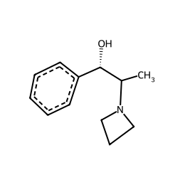 CC([C@@H](O)c1ccccc1)N1CCC1